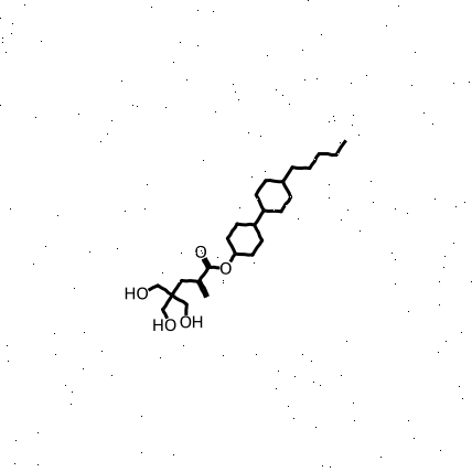 C=C(CC(CO)(CO)CO)C(=O)OC1CCC(C2CCC(CCCCC)CC2)CC1